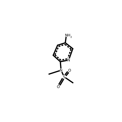 CN(c1ccc(N)cn1)S(C)(=O)=O